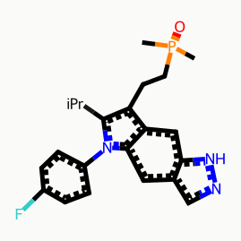 CC(C)c1c(CCP(C)(C)=O)c2cc3[nH]ncc3cc2n1-c1ccc(F)cc1